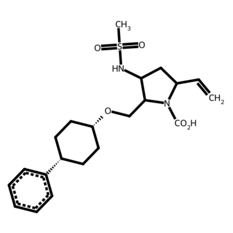 C=CC1CC(NS(C)(=O)=O)C(CO[C@H]2CC[C@@H](c3ccccc3)CC2)N1C(=O)O